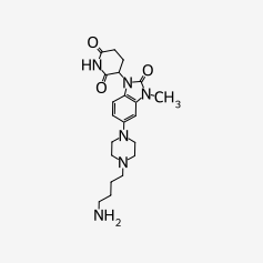 Cn1c(=O)n(C2CCC(=O)NC2=O)c2ccc(N3CCN(CCCCN)CC3)cc21